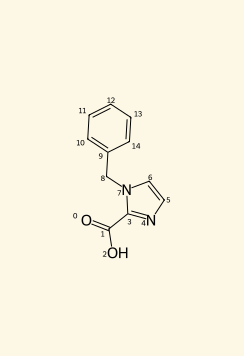 O=C(O)c1nccn1Cc1ccccc1